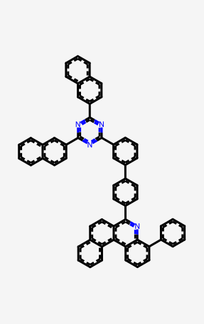 c1ccc(-c2cccc3c2nc(-c2ccc(-c4cccc(-c5nc(-c6ccc7ccccc7c6)nc(-c6ccc7ccccc7c6)n5)c4)cc2)c2ccc4ccccc4c23)cc1